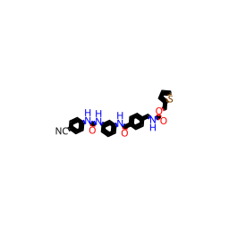 N#Cc1ccc(NC(=O)Nc2cccc(NC(=O)c3ccc(CNC(=O)OCc4cccs4)cc3)c2)cc1